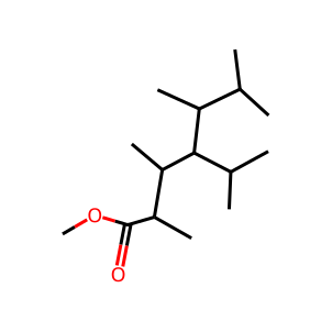 COC(=O)C(C)C(C)C(C(C)C)C(C)C(C)C